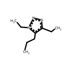 CCCc1c(CC)nnn1CC